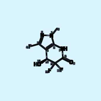 Cn1nc(F)c2c1NC(=O)C(F)(F)[C@H]2O